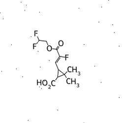 CC1(C)C(C=C(F)C(=O)OCC(F)F)C1C(=O)O